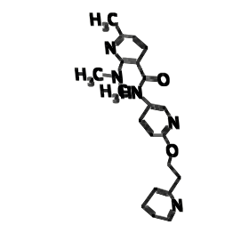 Cc1ccc(C(=O)Nc2ccc(OCCc3ccccn3)nc2)c(N(C)C)n1